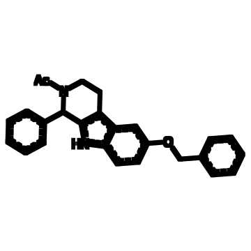 CC(=O)N1CCc2c([nH]c3ccc(OCc4ccccc4)cc23)C1c1ccccc1